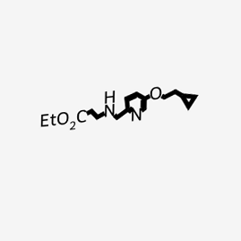 CCOC(=O)CCNCc1ccc(OCCC2CC2)cn1